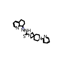 S=C(N/N=C1\CCCc2cccnc21)N1CC2(CCN(c3ccccn3)CC2)C1